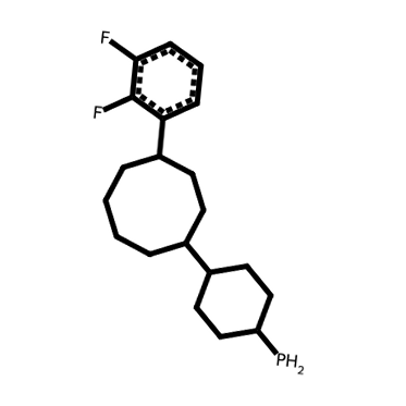 Fc1cccc(C2CCCCC(C3CCC(P)CC3)CC2)c1F